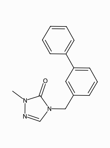 Cn1ncn(Cc2cccc(-c3ccccc3)c2)c1=O